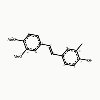 COc1ccc(/C=C/c2ccc(O)c(C)c2)cc1OC